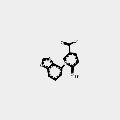 O=C([O-])c1ccc(=O)n(-c2cccc3ocnc23)c1.[Li+]